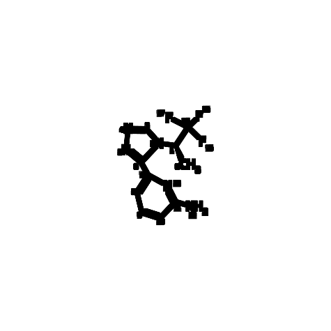 C[C@@H](n1cnnc1-c1cccc(N)n1)C(F)(F)F